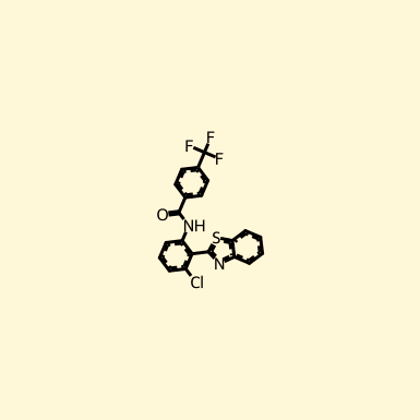 O=C(Nc1cccc(Cl)c1-c1nc2ccccc2s1)c1ccc(C(F)(F)F)cc1